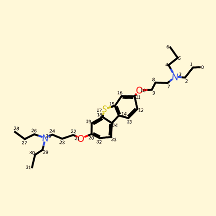 CCCN(CCC)CCCOc1ccc2c(c1)sc1cc(OCCCN(CCC)CCC)ccc12